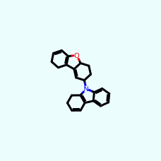 C1=CC2=C(CC1)C1=CC(n3c4c(c5ccccc53)C=CCC4)CCC1O2